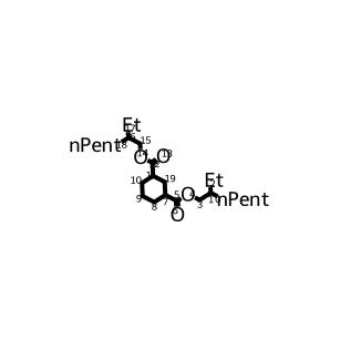 CCCCCC(CC)COC(=O)C1CCCC(C(=O)OCC(CC)CCCCC)C1